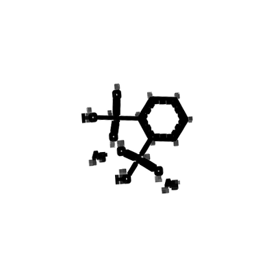 O=S(=O)(O)c1ccccc1S(=O)(=O)O.[Ag].[Ag]